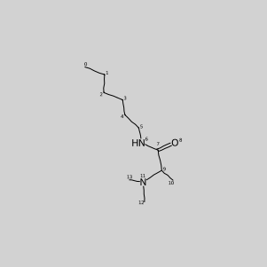 CCCCCCNC(=O)C(C)N(C)C